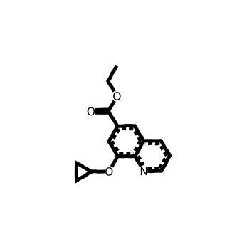 CCOC(=O)c1cc(OC2CC2)c2ncccc2c1